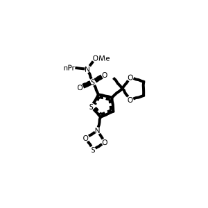 CCCN(OC)S(=O)(=O)c1sc(N2OSO2)cc1C1(C)OCCO1